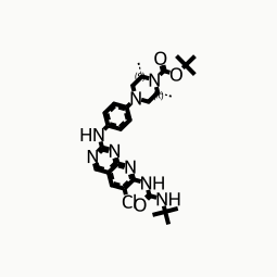 C[C@@H]1CN(c2ccc(Nc3ncc4cc(Cl)c(NC(=O)NC(C)(C)C)nc4n3)cc2)C[C@H](C)N1C(=O)OC(C)(C)C